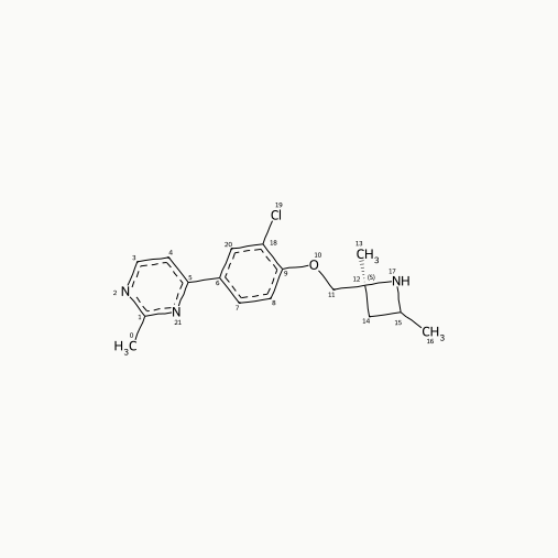 Cc1nccc(-c2ccc(OC[C@]3(C)CC(C)N3)c(Cl)c2)n1